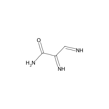 N=CC(=N)C(N)=O